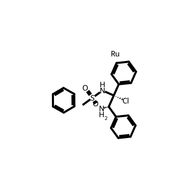 CS(=O)(=O)N[C@@](Cl)(c1ccccc1)[C@@H](N)c1ccccc1.[Ru].c1ccccc1